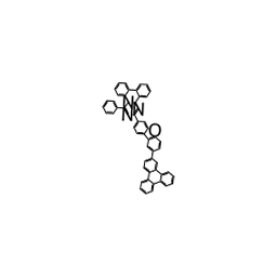 c1ccc(-c2nc(-c3ccc4c(c3)oc3ccc(-c5ccc6c7ccccc7c7ccccc7c6c5)cc34)nc(-c3ccccc3-c3ccccc3)n2)cc1